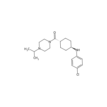 CC(C)N1CCN(C(=O)[C@H]2CC[C@H](Nc3ccc(Cl)cc3)CC2)CC1